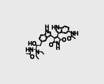 CCN(CC)C(NC(C)=O)C(O)Cc1ccc2[nH]cc(C3=C(c4c[nH]c5ccc(NC(C)=O)cc45)C(=O)NC3=O)c2c1